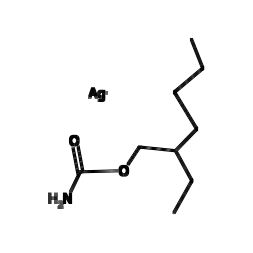 CCCCC(CC)COC(N)=O.[Ag]